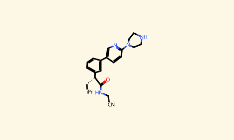 CC(C)C[C@@H](C(=O)NCC#N)c1cccc(-c2ccc(N3CCNCC3)nc2)c1